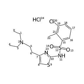 CCN(CC)CCc1csc(NS(=O)(=O)c2cccc(Cl)c2C)n1.Cl